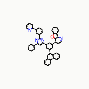 c1ccc(-c2cc(-c3cc(-c4cc5ccccc5c5ccccc45)cc(-c4ccnc5c4oc4ccccc45)c3)nc(-c3cccc(-c4ccccn4)c3)n2)cc1